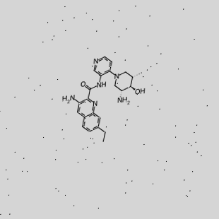 CCc1ccc2cc(N)c(C(=O)Nc3cnccc3N3C[C@@H](N)[C@H](O)[C@@H](C)C3)nc2c1